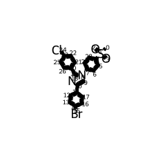 CS(=O)(=O)c1ccc(-n2cc(-c3ccc(Br)cc3)nc2-c2ccc(Cl)cc2)cc1